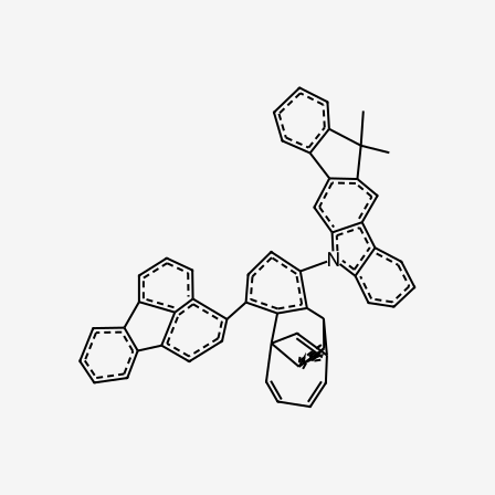 CC1(C)c2ccccc2-c2cc3c(cc21)c1ccccc1n3-c1ccc(-c2ccc3c4c(cccc24)-c2ccccc2-3)c2c1C1C3=CC2(C=CC=C3)c2ccccc21